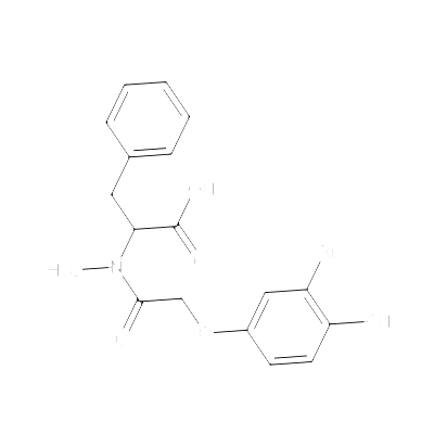 Cc1ccc(OCC(=O)N(C)C(Cc2ccccc2)C(=O)O)cc1Br